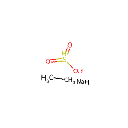 CC.O=[SH](=O)O.[NaH]